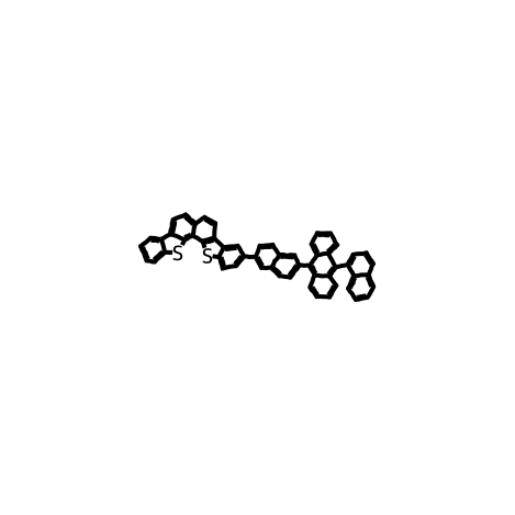 c1ccc2c(-c3c4ccccc4c(-c4ccc5cc(-c6ccc7sc8c(ccc9ccc%10c%11ccccc%11sc%10c98)c7c6)ccc5c4)c4ccccc34)cccc2c1